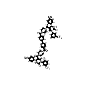 CC1=C(C(=O)N2CCN(C(=O)c3ccc(-c4ccc(C(=O)N5CCN(C(=O)C6=C(C)N(c7cccc(C(F)(F)F)c7)C(=O)N[C@@H]6c6ccc(C#N)cc6)CC5)cn4)nc3)CC2)[C@@H](c2ccc(C#N)cc2)NC(=O)N1c1cccc(C(F)(F)F)c1